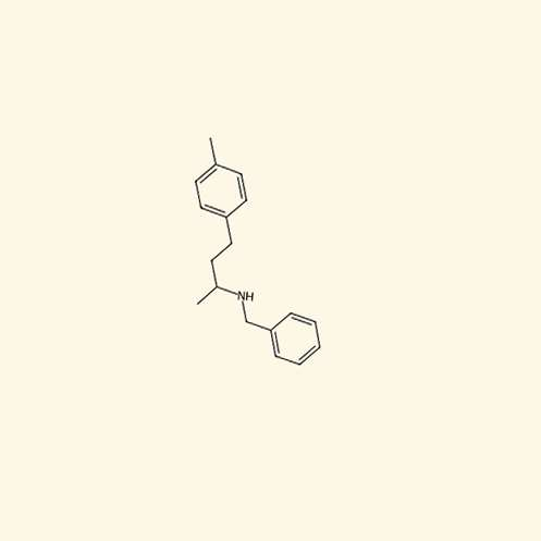 Cc1ccc(CCC(C)NCc2ccccc2)cc1